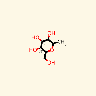 CC1OC(CO)[C@@H](O)[C@@H](O)C1O